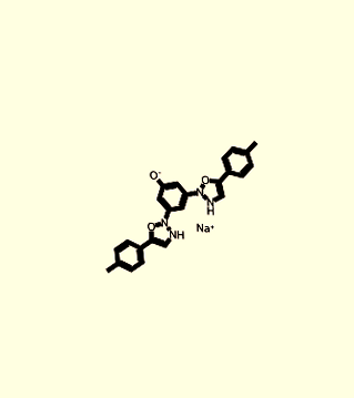 Cc1ccc(C2=CNN(c3cc([O-])cc(N4NC=C(c5ccc(C)cc5)O4)c3)O2)cc1.[Na+]